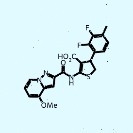 COc1cccn2nc(C(=O)NC3=C(C(=O)O)C(c4ccc(C)c(F)c4F)CS3)cc12